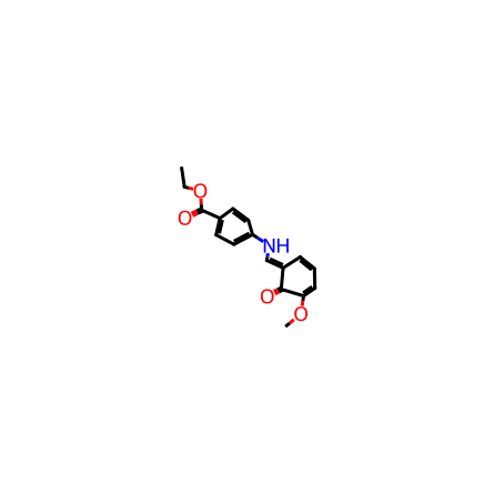 CCOC(=O)c1ccc(N/C=C2\C=CC=C(OC)C2=O)cc1